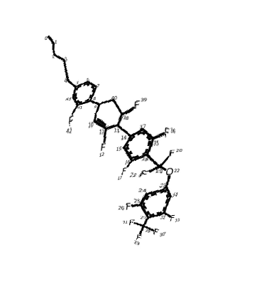 CCCCCc1ccc(C2C=C(F)C(c3cc(F)c(C(F)(F)Oc4cc(F)c(C(F)(F)F)c(F)c4)c(F)c3)C(F)C2)c(F)c1